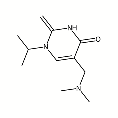 C=C1NC(=O)C(CN(C)C)=CN1C(C)C